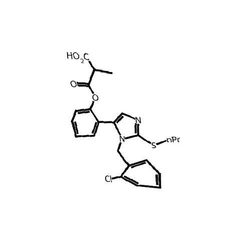 CCCSc1ncc(-c2ccccc2OC(=O)C(C)C(=O)O)n1Cc1ccccc1Cl